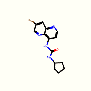 O=C(Nc1ccnc2cc(Br)cnc12)NC1CCCC1